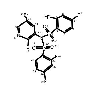 O=S(=O)(c1ccc(F)cc1F)N(c1cc(Br)cnc1Cl)S(=O)(=O)c1ccc(F)cc1F